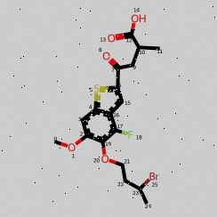 COc1cc2sc(C(=O)CC(C)C(=O)O)cc2c(F)c1OCCC(C)Br